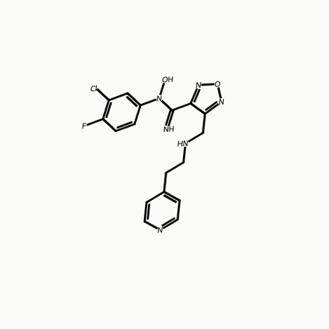 N=C(c1nonc1CNCCc1ccncc1)N(O)c1ccc(F)c(Cl)c1